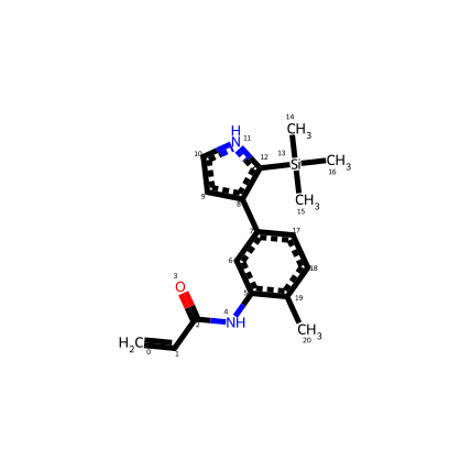 C=CC(=O)Nc1cc(-c2cc[nH]c2[Si](C)(C)C)ccc1C